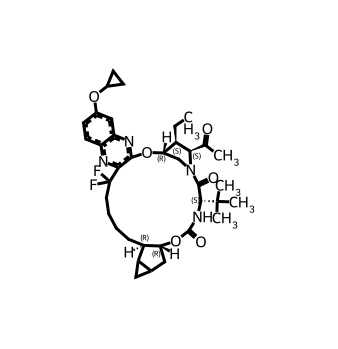 CC[C@@H]1[C@@H]2CN(C(=O)[C@H](C(C)(C)C)NC(=O)O[C@@H]3CC4CC4[C@H]3CCCCC(F)(F)c3nc4ccc(OC5CC5)cc4nc3O2)[C@@H]1C(C)=O